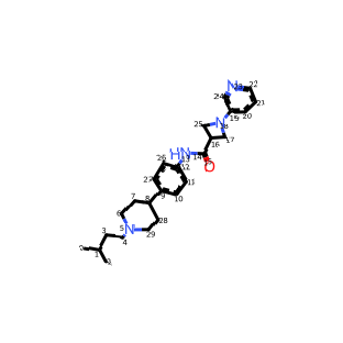 CC(C)CCN1CCC(c2ccc(NC(=O)C3CN(c4cccnc4)C3)cc2)CC1